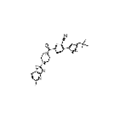 Cc1ccc2oc(N3CCN(C(=O)c4ccc(-c5cn(CC(C)(C)C)nn5)c(C#N)c4)CC3)nc2n1